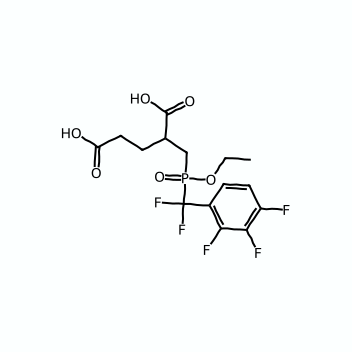 CCOP(=O)(CC(CCC(=O)O)C(=O)O)C(F)(F)c1ccc(F)c(F)c1F